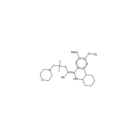 CCOc1cc2c(cc1OC)C(=C(C#N)SC(C)(C)CN1CCOCC1)NC1CCCCC21